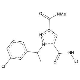 CCNC(=O)c1cc(C(=O)NC)nn1C(C)c1cccc(Cl)c1